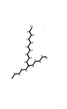 [CH2]CCCCC(CCCCC)CCCCCCCCCC